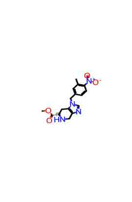 COC(=O)[C@@H]1Cc2c(ncn2Cc2ccc([N+](=O)[O-])c(C)c2)CN1